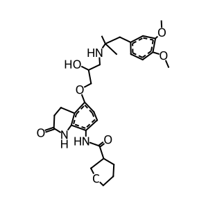 COc1ccc(CC(C)(C)NCC(O)COc2ccc(NC(=O)C3CCCCC3)c3c2CCC(=O)N3)cc1OC